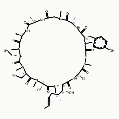 C/C=C/C[C@@H](C)[C@@H](O)[C@H]1C(=O)N[C@@H](CC)C(=O)N(C)CC(=O)N(C)[C@@H](Cc2ccc(O)cc2)C(=O)N[C@@H](C)C(=O)N(C)CC(=O)N[C@@H](C)C(=O)N[C@H](C)C(=O)N(C)[C@@H](CC(C)C)C(=O)N(C)[C@H](CC(C)C)C(=O)N(C)[C@@H](C(C)C)C(=O)N1C